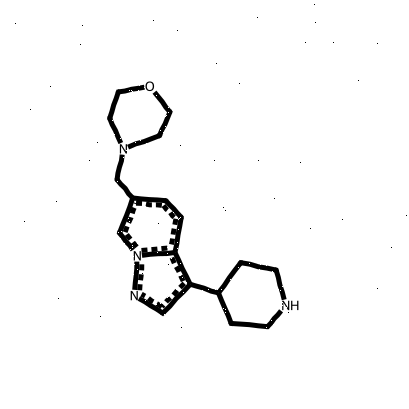 c1cc2c(C3CCNCC3)cnn2cc1CN1CCOCC1